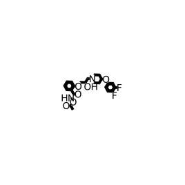 CC(=O)ONC(=O)c1ccccc1OCC(O)CN1CCC(Oc2ccc(F)c(F)c2)CC1